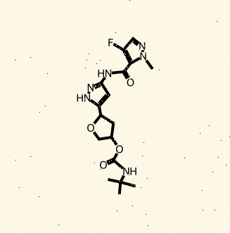 Cn1ncc(F)c1C(=O)Nc1cc(C2CC(OC(=O)NC(C)(C)C)CO2)[nH]n1